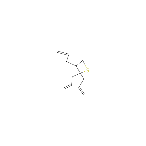 C=CCC1CSC1(CC=C)CC=C